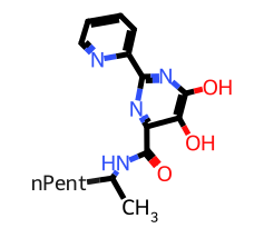 CCCCCC(C)NC(=O)c1nc(-c2ccccn2)nc(O)c1O